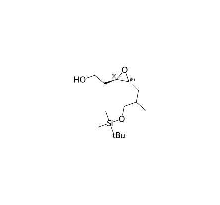 CC(CO[Si](C)(C)C(C)(C)C)C[C@H]1O[C@@H]1CCO